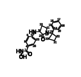 O=C(NO)c1ccc(NC2CCN(C3(c4ccccc4)CCC3)C2=O)cc1